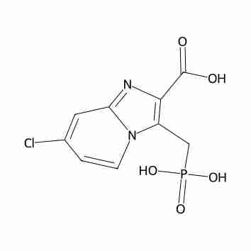 O=C(O)c1nc2cc(Cl)ccn2c1CP(=O)(O)O